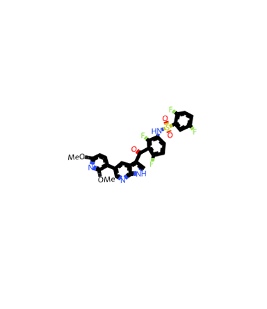 COc1ccc(-c2cnc3[nH]cc(C(=O)c4c(F)ccc(NS(=O)(=O)c5cc(F)ccc5F)c4F)c3c2)c(OC)n1